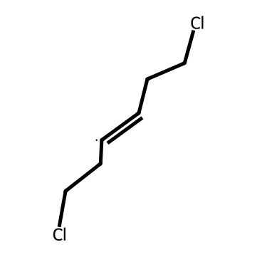 ClCC/[C]=C/CCCl